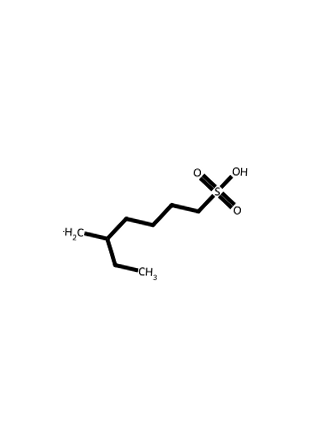 [CH2]C(CC)CCCCS(=O)(=O)O